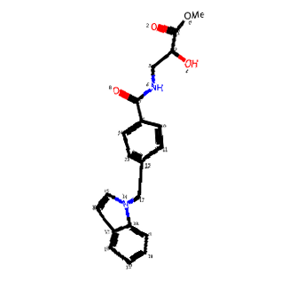 COC(=O)C(O)CNC(=O)c1ccc(Cn2ccc3ccccc32)cc1